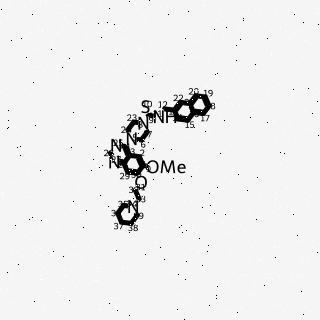 COc1cc2c(N3CCN(C(=S)NCc4ccc5ccccc5c4)CC3)ncnc2cc1OCCN1CCCCC1